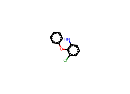 [NH]c1cccc(Cl)c1Oc1ccccc1